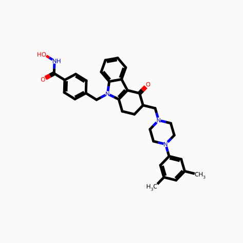 Cc1cc(C)cc(N2CCN(CC3CCc4c(c5ccccc5n4Cc4ccc(C(=O)NO)cc4)C3=O)CC2)c1